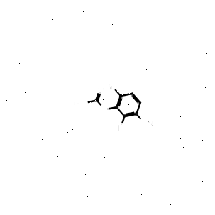 CCCCCCCC(=O)Oc1c(Br)ccc(C#N)c1Br